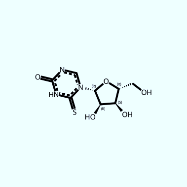 O=c1ncn([C@@H]2O[C@H](CO)[C@@H](O)[C@H]2O)c(=S)[nH]1